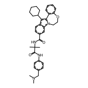 CN(C)Cc1ccc(NC(=O)C(C)(C)NC(=O)c2ccc3c(C4CCCCC4)c4n(c3c2)CCOc2ccccc2-4)cc1